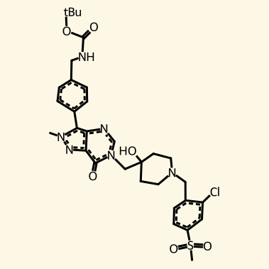 Cn1nc2c(=O)n(CC3(O)CCN(Cc4ccc(S(C)(=O)=O)cc4Cl)CC3)cnc2c1-c1ccc(CNC(=O)OC(C)(C)C)cc1